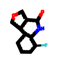 O=c1[nH]c2c(F)cccc2c2cocc12